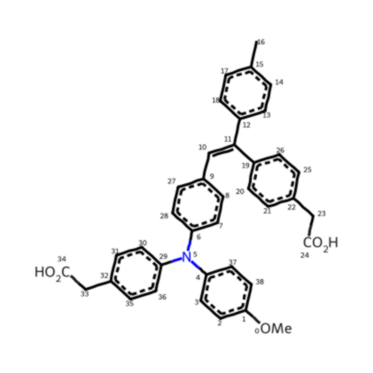 COc1ccc(N(c2ccc(C=C(c3ccc(C)cc3)c3ccc(CC(=O)O)cc3)cc2)c2ccc(CC(=O)O)cc2)cc1